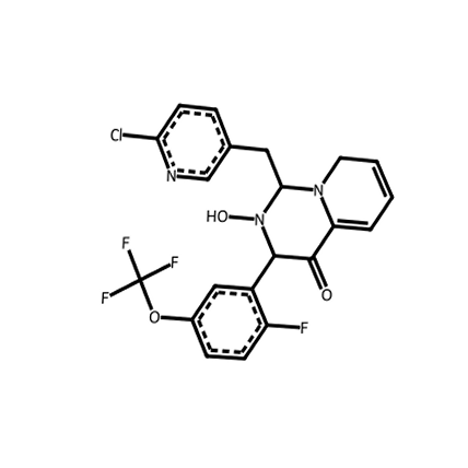 O=C1C2=CC=CCN2C(Cc2ccc(Cl)nc2)N(O)C1c1cc(OC(F)(F)F)ccc1F